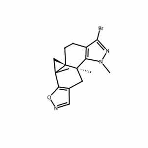 Cn1nc(Br)c2c1[C@@]1(C)Cc3cnoc3C3(C)C[C@]31CC2